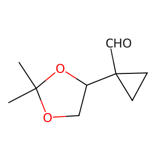 CC1(C)OCC(C2(C=O)CC2)O1